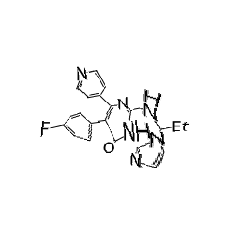 CCC(Nc1nc(-c2ccncc2)c(-c2ccc(F)cc2)c(=O)[nH]1)n1ccnc1